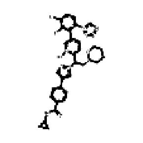 O=C(NC1CC1)c1ccc(-c2cnn(C(C[C@@H]3CCCCO3)c3ccc(-c4c(-n5cnnn5)ccc(Cl)c4F)c[n+]3O)c2)cc1